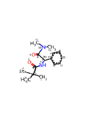 CCC(C)(C)C(=O)N[C@@H](C(=O)N(C)C)c1ccccc1